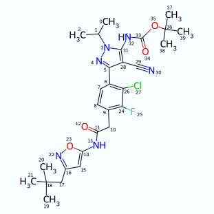 CC(C)n1nc(-c2ccc(CC(=O)Nc3cc(CC(C)(C)C)no3)c(F)c2Cl)c(C#N)c1NC(=O)OC(C)(C)C